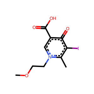 COCCn1cc(C(=O)O)c(=O)c(I)c1C